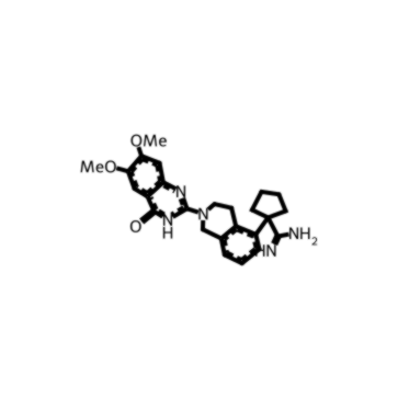 COc1cc2nc(N3CCc4c(cccc4C4(C(=N)N)CCCC4)C3)[nH]c(=O)c2cc1OC